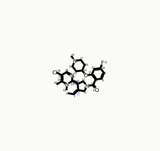 C/C=C1/CN(C(=O)c2ccc(F)cc2OC2CCN(C)CC2)C/C1=C1\N=CC(Cl)=C(C)N1C